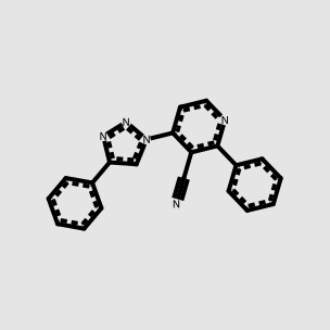 N#Cc1c(-n2cc(-c3ccccc3)nn2)ccnc1-c1ccccc1